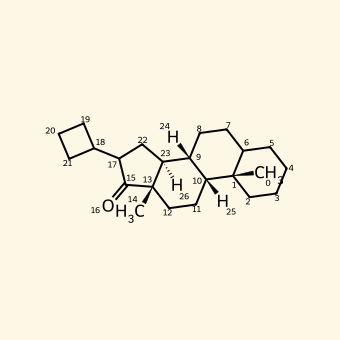 C[C@]12CCCCC1CC[C@@H]1[C@H]2CC[C@]2(C)C(=O)C(C3CCC3)C[C@@H]12